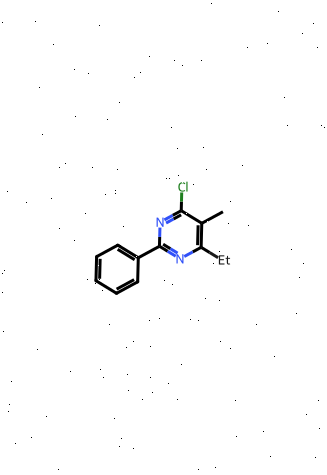 CCc1nc(-c2ccccc2)nc(Cl)c1C